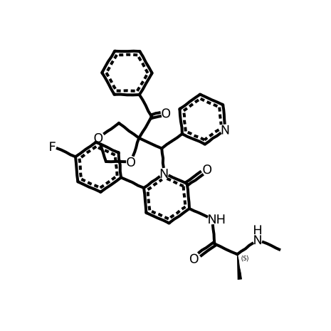 CN[C@@H](C)C(=O)Nc1ccc(-c2ccc(F)cc2)n(C(c2cccnc2)C2(C(=O)c3ccccc3)COCO2)c1=O